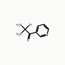 CCC(N)(C(=O)c1cccnc1)[N+](=O)[O-]